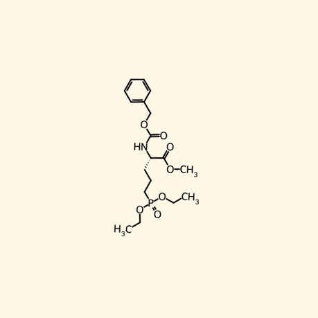 CCOP(=O)(CCC[C@H](NC(=O)OCc1ccccc1)C(=O)OC)OCC